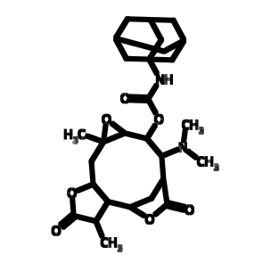 CC1C(=O)OC2CC3(C)OC3C(OC(=O)NC34CC5CC(CC(C5)C3)C4)C(N(C)C)C3CC(OC3=O)C21